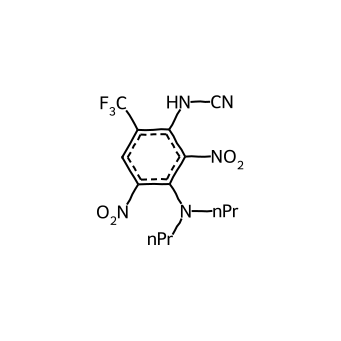 CCCN(CCC)c1c([N+](=O)[O-])cc(C(F)(F)F)c(NC#N)c1[N+](=O)[O-]